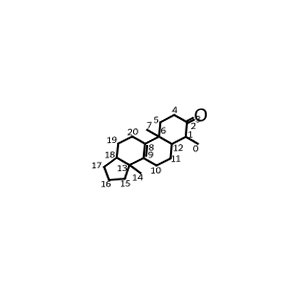 CC1C(=O)CCC2(C)C3=C(CCC12)C1(C)CCCC1CC3